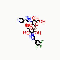 OCC1O[C@@H](SC2O[C@H](CO)C(O)C(n3cc(-c4ccncc4)nn3)[C@H]2O)[C@@H](O)C(n2cc(-c3cc(F)c(F)c(F)c3)nn2)[C@H]1O